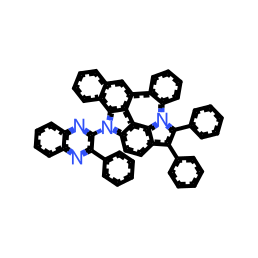 c1ccc(-c2nc3ccccc3nc2-n2c3ccc4c(-c5ccccc5)c(-c5ccccc5)n5c6ccccc6c6cc7ccccc7c2c6c3c45)cc1